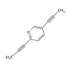 CC#Cc1ccc(C#CC)nc1